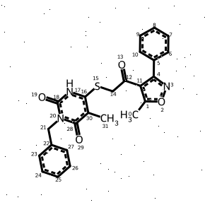 Cc1onc(-c2ccccc2)c1C(=O)CSc1[nH]c(=O)n(Cc2ccccc2)c(=O)c1C